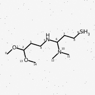 COC(CCNC(CC[SiH3])N(C)C)OC